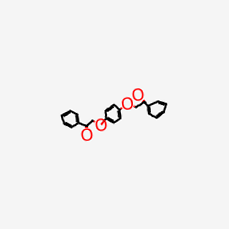 O=C(COc1ccc(OCC(=O)c2ccccc2)cc1)c1ccccc1